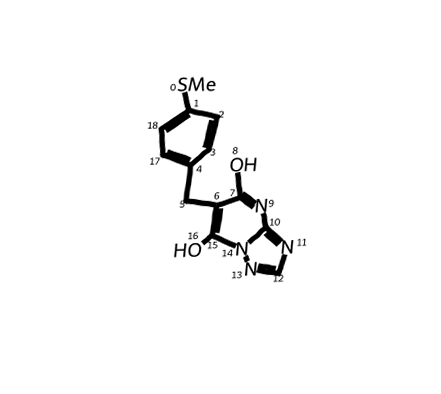 CSc1ccc(Cc2c(O)nc3ncnn3c2O)cc1